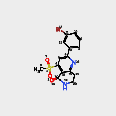 CS(=O)(=O)c1cc(-c2cccc(Br)c2)nc2c1C(=O)NCC2